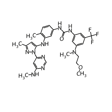 CNc1cc(-n2nc(C)cc2Nc2cc(NC(=O)Nc3cc(N(C)CCOC)cc(C(F)(F)F)c3)ccc2C)ncn1